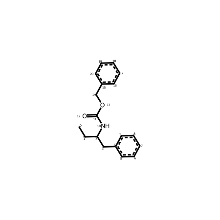 C[CH]C(Cc1ccccc1)NC(=O)OCc1ccccc1